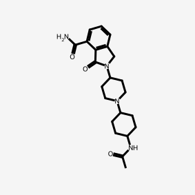 CC(=O)NC1CCC(N2CCC(N3Cc4cccc(C(N)=O)c4C3=O)CC2)CC1